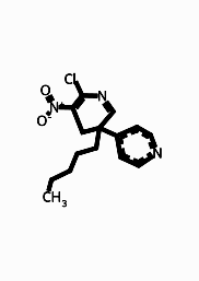 CCCCCC1(c2ccncc2)C=NC(Cl)=C([N+](=O)[O-])C1